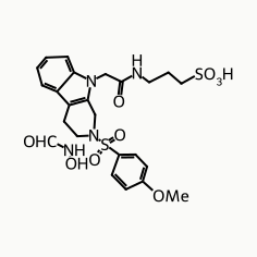 COc1ccc(S(=O)(=O)N2CCc3c(n(CC(=O)NCCCS(=O)(=O)O)c4ccccc34)C2)cc1.O=CNO